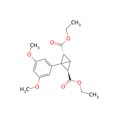 CCOC(=O)[C@@H]1C2[C@@H](C(=O)OCC)C21c1cc(OC)cc(OC)c1